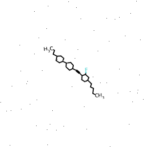 CCCCCC1CCC(C#CC2CCC(C3CCC(CCC)CC3)CC2)C(F)C1